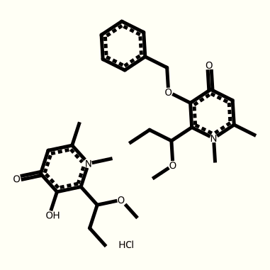 CCC(OC)c1c(O)c(=O)cc(C)n1C.CCC(OC)c1c(OCc2ccccc2)c(=O)cc(C)n1C.Cl